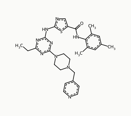 CCc1nc(Nc2ncc(C(=O)Nc3c(C)cc(C)cc3C)s2)nc(N2CCN(Cc3ccncc3)CC2)n1